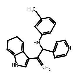 C=C(c1c[nH]c2c1=CCCC=2)C(Nc1cccc(C)c1)c1ccncc1